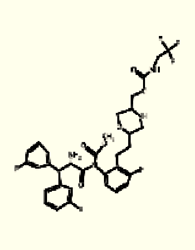 COC(=O)N(C(=O)[C@@H](N)C(c1cccc(F)c1)c1cccc(F)c1)c1cccc(F)c1CC[C@@H]1CN[C@H](COC(=O)NCC(F)(F)F)CO1